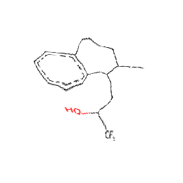 CC1CCc2ccccc2C1CC(O)C(F)(F)F